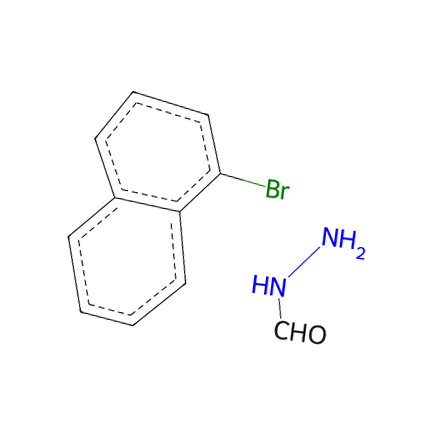 Brc1cccc2ccccc12.NNC=O